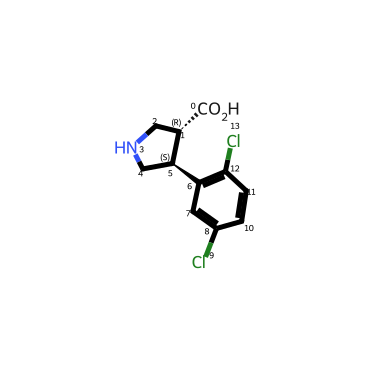 O=C(O)[C@H]1CNC[C@@H]1c1cc(Cl)ccc1Cl